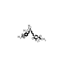 CCN(CCCCN1CCN(C(=O)C(C)C)CCC1=O)C(C)Cc1ccc(S(C)(=O)=O)cc1